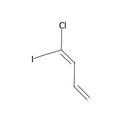 C=CC=C(Cl)I